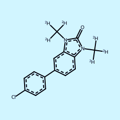 [2H]C([2H])([2H])n1c(=O)n(C([2H])([2H])[2H])c2cc(-c3ccc(Cl)cc3)ccc21